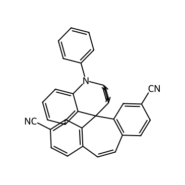 N#Cc1ccc2c(c1)C1(c3cc(C#N)ccc3C=C2)c2ccccc2N(c2ccccc2)c2ccccc21